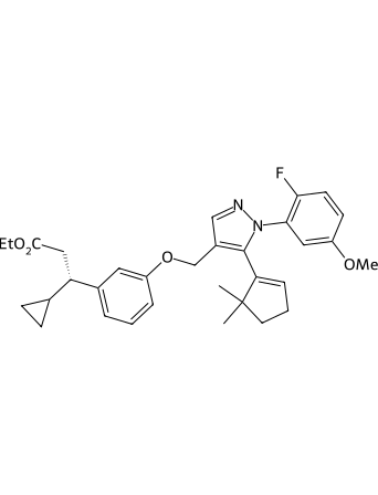 CCOC(=O)C[C@H](c1cccc(OCc2cnn(-c3cc(OC)ccc3F)c2C2=CCCC2(C)C)c1)C1CC1